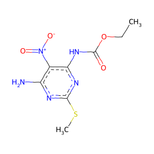 CCOC(=O)Nc1nc(SC)nc(N)c1[N+](=O)[O-]